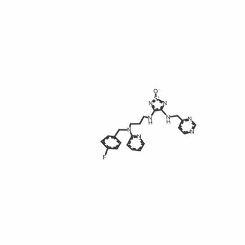 [O-][s+]1nc(NCCCN(Cc2ccc(F)cc2)c2ccccn2)c(NCc2ccncn2)n1